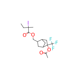 CCC(C)(I)C(=O)OCC1CC2CC1CC2(OC(C)=O)C(F)(F)F